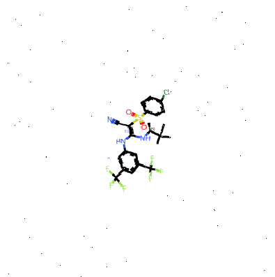 C[C@H](N/C(Nc1cc(C(F)(F)F)cc(C(F)(F)F)c1)=C(/C#N)S(=O)(=O)c1ccc(Cl)cc1)C(C)(C)C